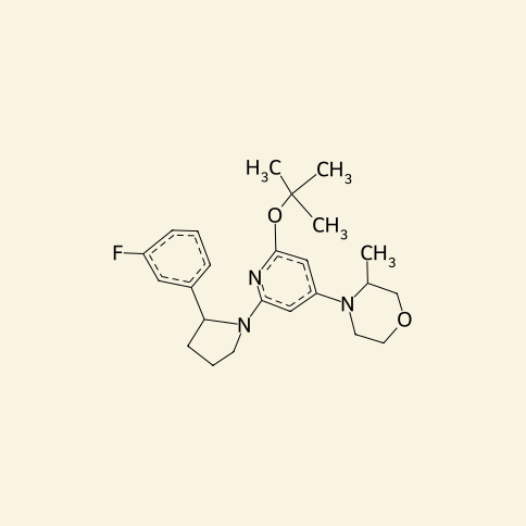 CC1COCCN1c1cc(OC(C)(C)C)nc(N2CCCC2c2cccc(F)c2)c1